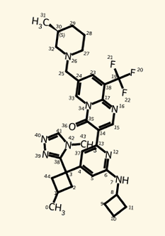 CC1CC(c2cc(NC3CCC3)nc(-c3cnc4c(C(F)(F)F)cc(CN5CCC[C@H](C)C5)cn4c3=O)c2)(c2nncn2C)C1